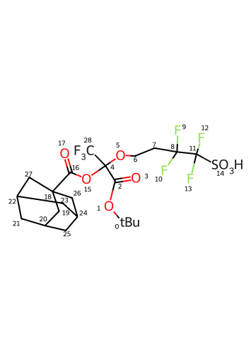 CC(C)(C)OC(=O)C(OCCC(F)(F)C(F)(F)S(=O)(=O)O)(OC(=O)C12CC3CC(CC(C3)C1)C2)C(F)(F)F